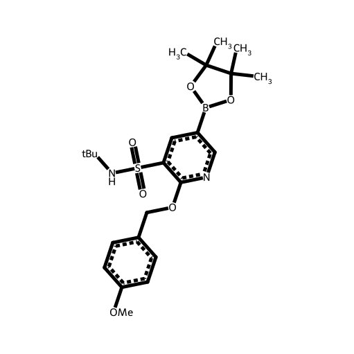 COc1ccc(COc2ncc(B3OC(C)(C)C(C)(C)O3)cc2S(=O)(=O)NC(C)(C)C)cc1